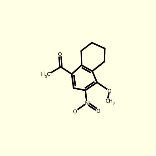 COc1c([N+](=O)[O-])cc(C(C)=O)c2c1CCCC2